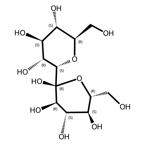 OC[C@H]1O[C@H]([C@]2(O)O[C@H](CO)[C@@H](O)[C@H](O)[C@H]2O)[C@H](O)[C@@H](O)[C@@H]1O